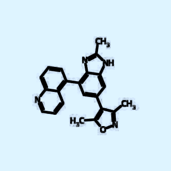 Cc1nc2c(-c3cccc4ncccc34)cc(-c3c(C)noc3C)cc2[nH]1